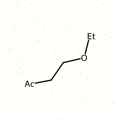 CCOCCC(C)=O